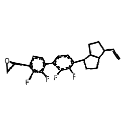 C=CC1CCC2C(c3ccc(-c4ccc(C5CO5)c(F)c4F)c(F)c3F)CCC12